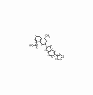 CCCC(Cc1ccccc1C(=O)O)N1Cc2ccc(-c3nnn[nH]3)cc2C1